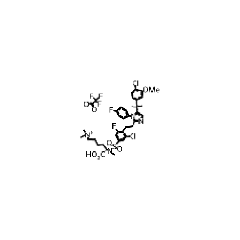 COc1cc(C(C)(C)c2cnc(CCc3c(F)cc(S(=O)(=O)N(C)[C@@H](CCCC[N+](C)(C)C)C(=O)O)cc3Cl)n2-c2ccc(F)cc2)ccc1Cl.O=C([O-])C(F)(F)F